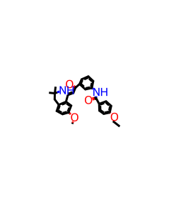 CCOc1ccc(C(=O)Nc2cccc(C(=O)/C=C3\NC(C)(C)Cc4ccc(OC)cc43)c2)cc1